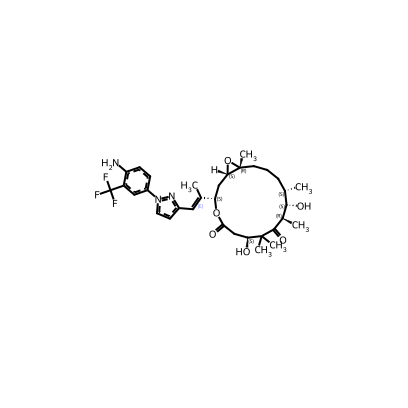 C/C(=C\c1ccn(-c2ccc(N)c(C(F)(F)F)c2)n1)[C@@H]1C[C@@H]2O[C@]2(C)CCC[C@H](C)[C@H](O)[C@@H](C)C(=O)C(C)(C)[C@@H](O)CC(=O)O1